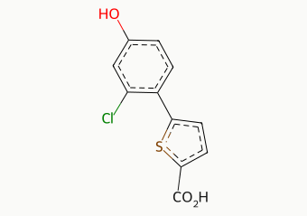 O=C(O)c1ccc(-c2ccc(O)cc2Cl)s1